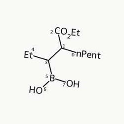 CCCCCC(C(=O)OCC)C(CC)B(O)O